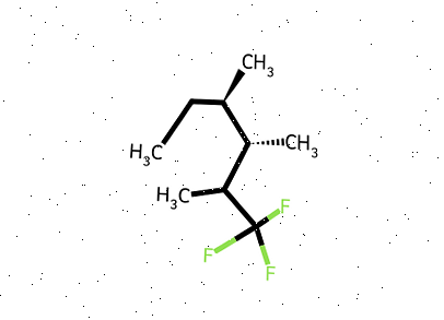 CC[C@@H](C)[C@H](C)C(C)C(F)(F)F